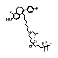 O=S(=O)(CCCN(CCCCCCC1=C(c2ccc(F)cc2)CCCc2c1ccc(O)c2F)CC(F)F)CCCC(F)(F)C(F)(F)F